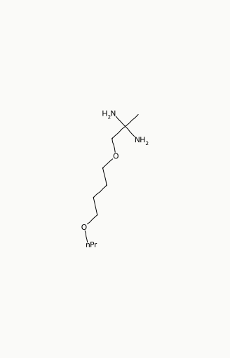 CCCOCCCCOCC(C)(N)N